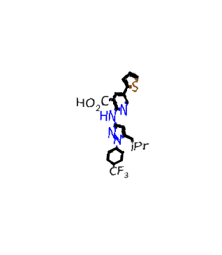 CC(C)Cc1cc(Nc2ncc(-c3cccs3)cc2C(=O)O)nn1[C@H]1CC[C@H](C(F)(F)F)CC1